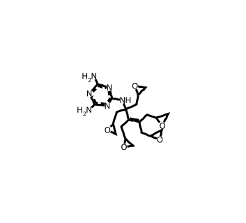 Nc1nc(N)nc(NC(CC2CO2)(CC2CO2)C(CC2CO2)=C(CC2CO2)CC2CO2)n1